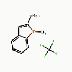 CCCCCCCc1cc2ccccc2[s+]1C(F)(F)F.F[B-](F)(F)F